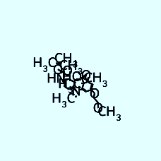 CCN(C1=CC(OCCOC)=CC(C)C1(C)C(=O)O)C1CCC(NC(=O)OC(C)(C)C)CC1